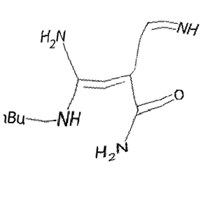 CCCCN/C(N)=C(/C=N)C(N)=O